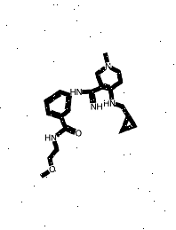 COCCNC(=O)c1cccc(NC(=N)C2=C(NCC3CC3)CCN(C)C2)c1